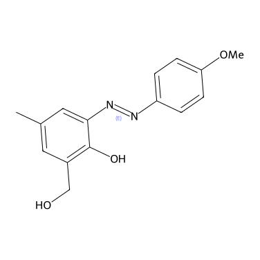 COc1ccc(/N=N/c2cc(C)cc(CO)c2O)cc1